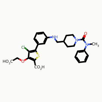 CN(C(=O)N1CCC(CNc2cccc(-c3sc(C(=O)O)c(OCC(=O)O)c3Cl)c2)CC1)c1ccccc1